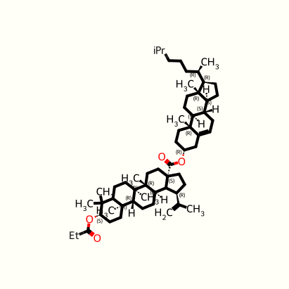 C=C(C)[C@@H]1CC[C@]2(C(=O)O[C@@H]3CC[C@@]4(C)C(=CC[C@H]5[C@@H]6CC[C@H]([C@H](C)CCCC(C)C)[C@@]6(C)CC[C@@H]54)C3)CC[C@]3(C)[C@H](CC[C@@H]4[C@@]5(C)CC[C@H](OC(=O)CC)C(C)(C)C5CC[C@]43C)C12